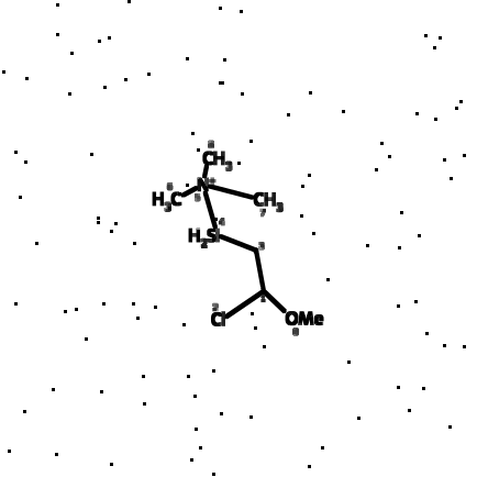 COC(Cl)C[SiH2][N+](C)(C)C